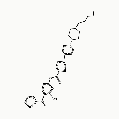 CCCCC[C@H]1CC[C@H](c2ccc(-c3ccc(C(=O)Oc4ccc(C(=O)c5ccccc5)c(O)c4)cc3)cc2)CC1